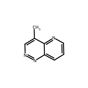 Cc1cnnc2cccnc12